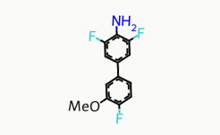 COc1cc(-c2cc(F)c(N)c(F)c2)ccc1F